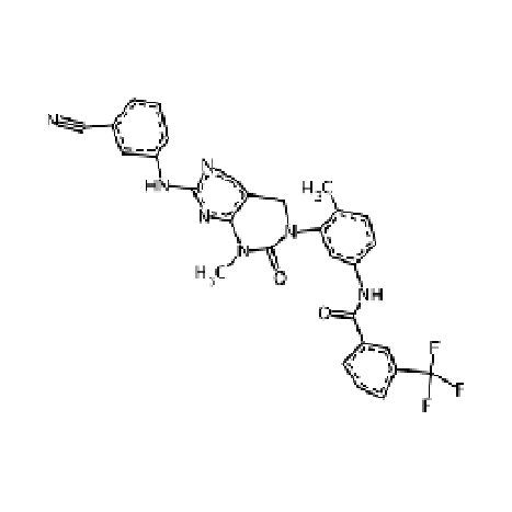 Cc1ccc(NC(=O)c2cccc(C(F)(F)F)c2)cc1N1Cc2cnc(Nc3cccc(C#N)c3)nc2N(C)C1=O